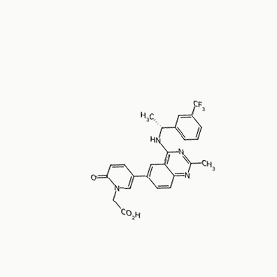 Cc1nc(N[C@H](C)c2cccc(C(F)(F)F)c2)c2cc(-c3ccc(=O)n(CC(=O)O)c3)ccc2n1